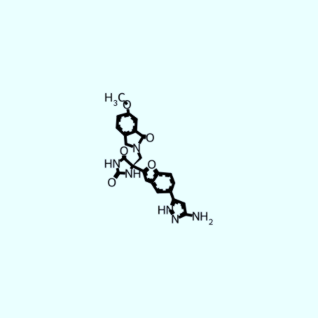 COc1ccc2c(c1)C(=O)N(C[C@@]1(c3cc4cc(-c5cc(N)n[nH]5)ccc4o3)NC(=O)NC1=O)C2